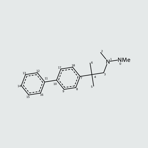 CNN(C)CC(C)(C)c1ccc(-c2ccccc2)cc1